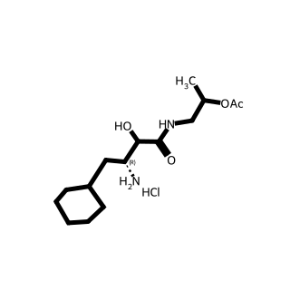 CC(=O)OC(C)CNC(=O)C(O)[C@H](N)CC1CCCCC1.Cl